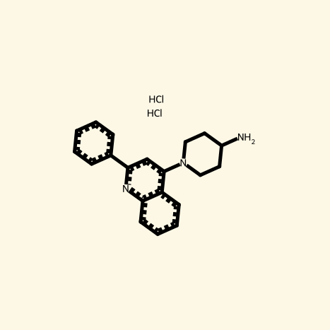 Cl.Cl.NC1CCN(c2cc(-c3ccccc3)nc3ccccc23)CC1